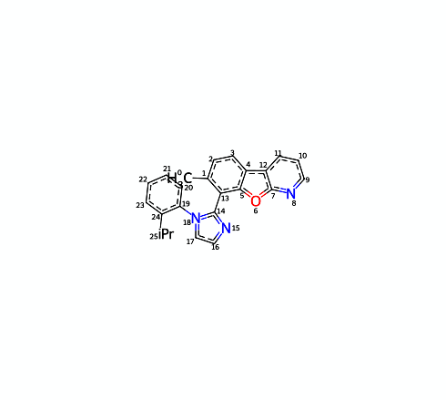 Cc1ccc2c(oc3ncccc32)c1-c1nccn1-c1ccccc1C(C)C